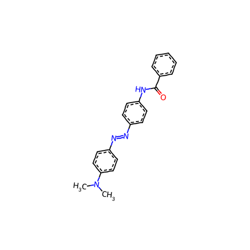 CN(C)c1ccc(N=Nc2ccc(NC(=O)c3ccccc3)cc2)cc1